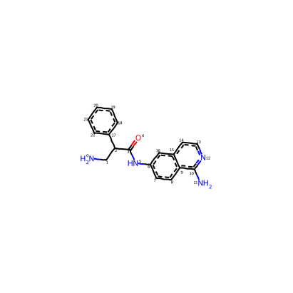 NCC(C(=O)Nc1ccc2c(N)nccc2c1)c1ccccc1